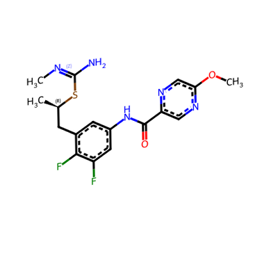 C/N=C(/N)S[C@H](C)Cc1cc(NC(=O)c2cnc(OC)cn2)cc(F)c1F